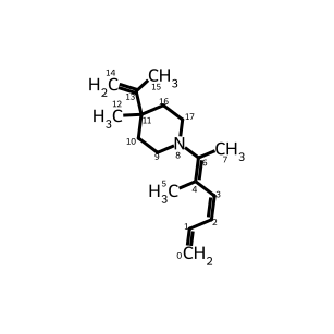 C=C/C=C\C(C)=C(/C)N1CCC(C)(C(=C)C)CC1